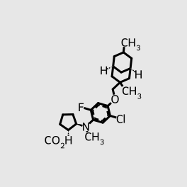 CC1C[C@@H]2C[C@H](C1)CC(C)(COc1cc(F)c(N(C)[C@@H]3CCC[C@H]3C(=O)O)cc1Cl)C2